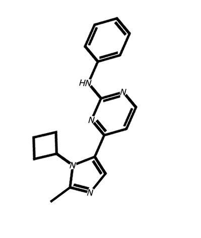 Cc1ncc(-c2ccnc(Nc3ccccc3)n2)n1C1CCC1